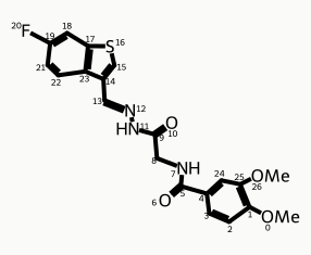 COc1ccc(C(=O)NCC(=O)N/N=C/c2csc3cc(F)ccc23)cc1OC